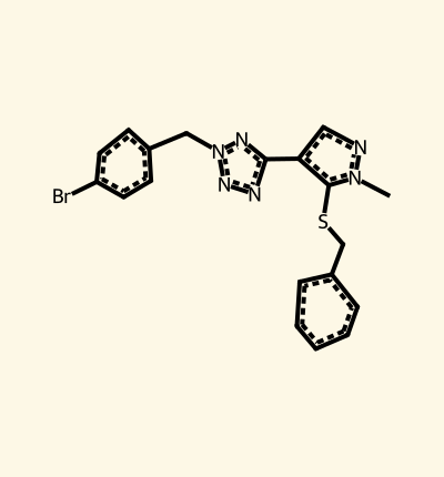 Cn1ncc(-c2nnn(Cc3ccc(Br)cc3)n2)c1SCc1ccccc1